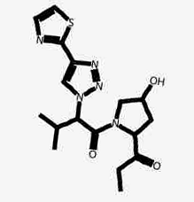 CCC(=O)C1CC(O)CN1C(=O)C(C(C)C)n1cc(-c2nccs2)nn1